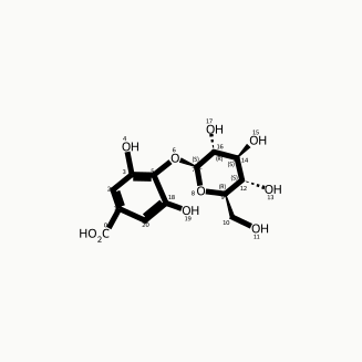 O=C(O)c1cc(O)c(O[C@@H]2O[C@H](CO)[C@@H](O)[C@H](O)[C@H]2O)c(O)c1